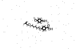 C=C(C)COCCCCCCOc1ccc(C(=O)O)cc1.COc1ccc(N)cc1